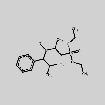 CCOP(=O)(CC(C)N([O])C(c1ccccc1)C(C)C)OCC